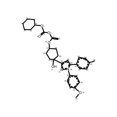 C=C(OC(=O)OC1CCCCC1)OC1CCC(O)(c2cc(-c3ccc(C)cc3)n(-c3ccc(OC)cc3)n2)CC1